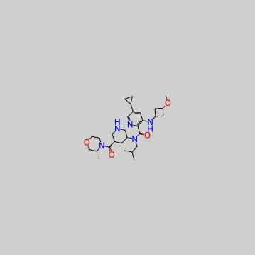 COC1CC(Nc2cc(C3CC3)cnc2C(=O)N(CC(C)C)[C@@H]2CNC[C@H](C(=O)N3CCOC[C@H]3C)C2)C1